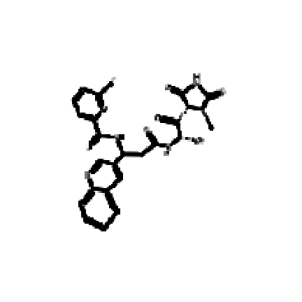 CC(C)[C@H](NC(=O)CC(NC(=O)c1cccc(F)n1)c1cnc2ccccc2c1)C(=O)[C@@H]1C(=O)NC(=O)[C@H]1C